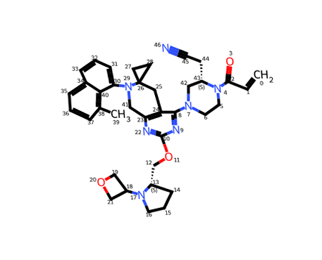 C=CC(=O)N1CCN(c2nc(OC[C@@H]3CCCN3C3COC3)nc3c2CC2(CC2)N(c2cccc4cccc(C)c24)C3)C[C@@H]1CC#N